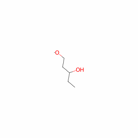 CCC(O)CC[O]